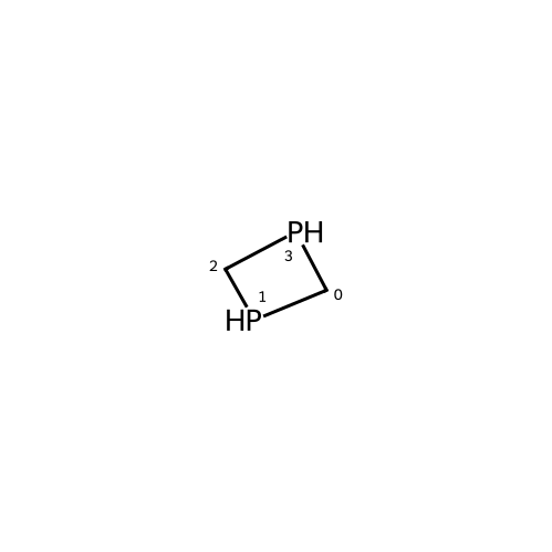 C1PCP1